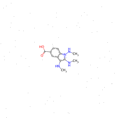 CNc1c(NC)n(NC)c2ccc(C(=O)O)cc12